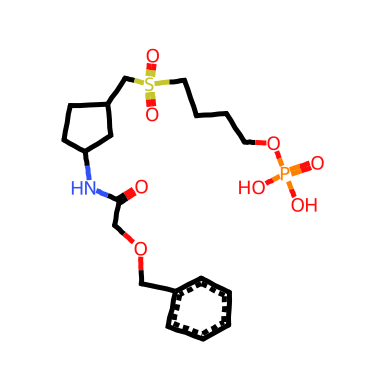 O=C(COCc1ccccc1)NC1CCC(CS(=O)(=O)CCCCOP(=O)(O)O)C1